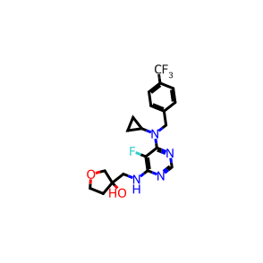 OC1(CNc2ncnc(N(Cc3ccc(C(F)(F)F)cc3)C3CC3)c2F)CCOC1